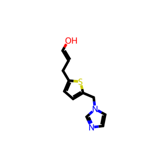 OC=CCc1ccc(Cn2ccnc2)s1